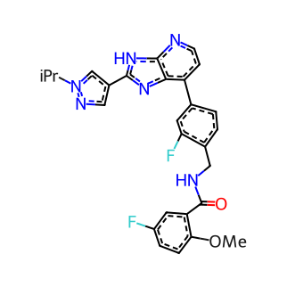 COc1ccc(F)cc1C(=O)NCc1ccc(-c2ccnc3[nH]c(-c4cnn(C(C)C)c4)nc23)cc1F